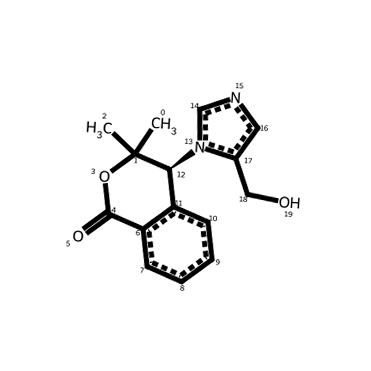 CC1(C)OC(=O)c2ccccc2[C@@H]1n1cncc1CO